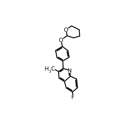 Cc1cc2cc(F)ccc2nc1-c1ccc(OC2CCCCO2)cc1